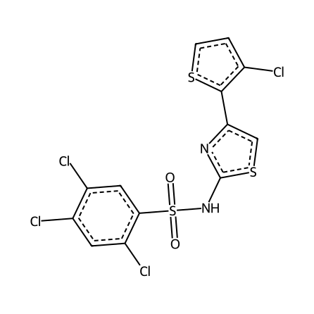 O=S(=O)(Nc1nc(-c2sccc2Cl)cs1)c1cc(Cl)c(Cl)cc1Cl